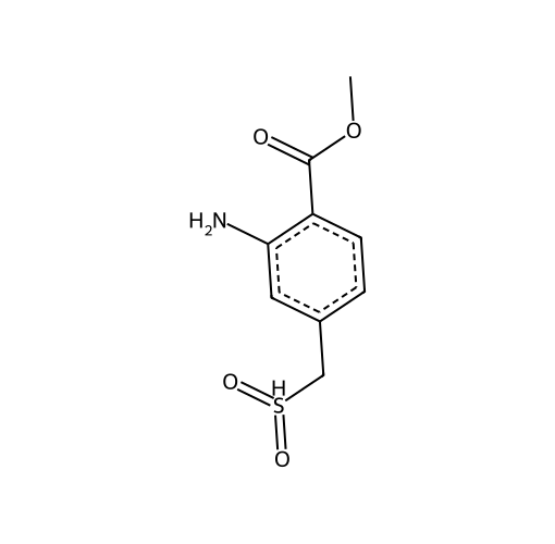 COC(=O)c1ccc(C[SH](=O)=O)cc1N